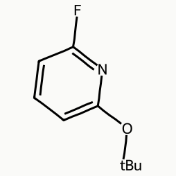 CC(C)(C)Oc1cccc(F)n1